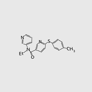 CCN(C(=O)c1ccc(Sc2ccc(C)cc2)nc1)c1cccnc1